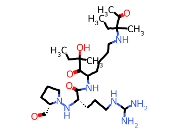 CCC(C)(O)C(=O)C(CCCCNC(C)(CC)C(C)=O)NC(=O)[C@H](CCCNC(N)N)NN1CCC[C@H]1C=O